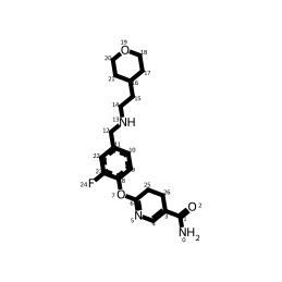 NC(=O)C1=CN=C(Oc2ccc(CNCCC3CCOCC3)cc2F)CC1